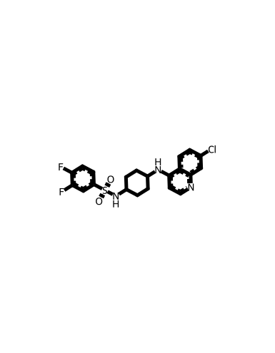 O=S(=O)(NC1CCC(Nc2ccnc3cc(Cl)ccc23)CC1)c1ccc(F)c(F)c1